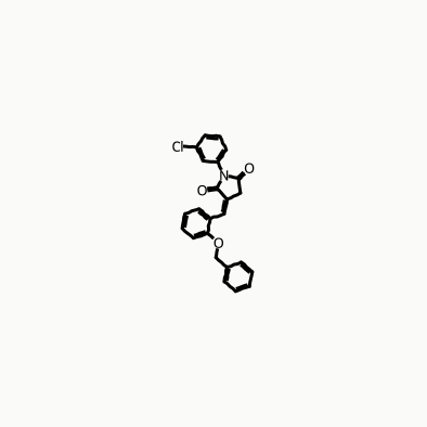 O=C1C/C(=C/c2ccccc2OCc2ccccc2)C(=O)N1c1cccc(Cl)c1